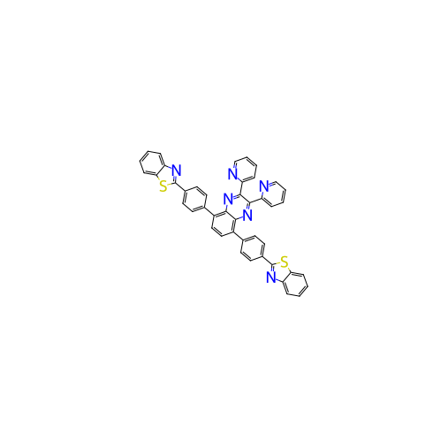 c1ccc(-c2nc3c(-c4ccc(-c5nc6ccccc6s5)cc4)ccc(-c4ccc(-c5nc6ccccc6s5)cc4)c3nc2-c2ccccn2)nc1